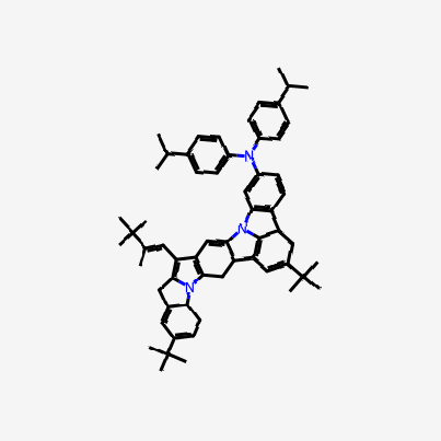 C/C(=C\c1c2c(n3c1CC1=CC(C(C)(C)C)=CCC13)CC1C(=C2)N2C3=C1C=C(C(C)(C)C)CC3c1ccc(N(c3ccc(C(C)C)cc3)c3ccc(C(C)C)cc3)cc12)C(C)(C)C